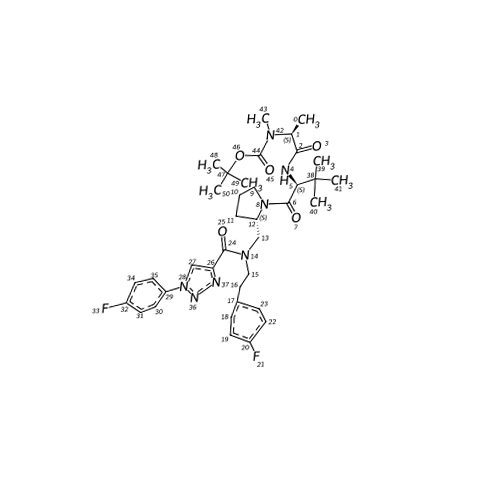 C[C@@H](C(=O)N[C@H](C(=O)N1CCC[C@H]1CN(CCc1ccc(F)cc1)C(=O)c1cn(-c2ccc(F)cc2)nn1)C(C)(C)C)N(C)C(=O)OC(C)(C)C